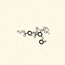 COC(=O)c1ccc(NC(=O)c2cc(Sc3ccccc3F)cc(OC(C)C)c2C)nc1